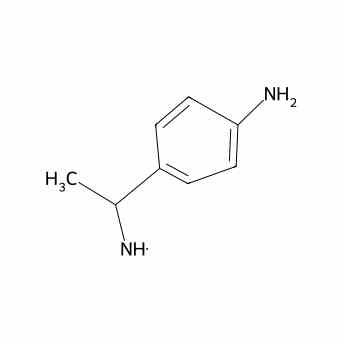 CC([NH])c1ccc(N)cc1